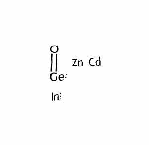 [Cd].[In].[O]=[Ge].[Zn]